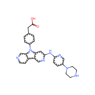 O=C(O)Cc1ccc(-n2c3cnccc3c3cnc(Nc4ccc(N5CCNCC5)cn4)cc32)cc1